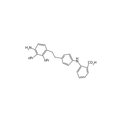 CCCc1c(N)ccc(CCc2ccc(Nc3ccccc3C(=O)O)cc2)c1CCC